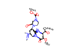 CCCCOc1c(C(=O)OC)nc2c(N3CCN(C(=O)OC(C)(C)C)CC3=O)cc(N(C)C)cn2c1=O